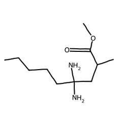 CCCCCC(N)(N)CC(C)C(=O)OC